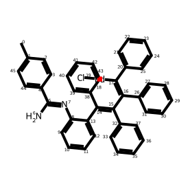 Cc1ccc(/C(N)=N/c2ccccc2/C(=C(/C(=[C](\[Pd][Cl])c2ccccc2)c2ccccc2)c2ccccc2)c2ccccc2)cc1